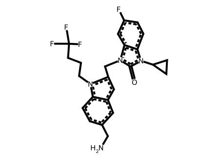 NCc1ccc2c(c1)cc(Cn1c(=O)n(C3CC3)c3ccc(F)cc31)n2CCCC(F)(F)F